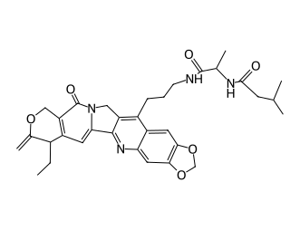 C=C1OCc2c(cc3n(c2=O)Cc2c-3nc3cc4c(cc3c2CCCNC(=O)C(C)NC(=O)CC(C)C)OCO4)C1CC